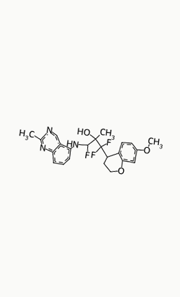 COc1ccc2c(c1)OCCC2C(F)(F)C(C)(O)C(F)Nc1cccc2nc(C)ncc12